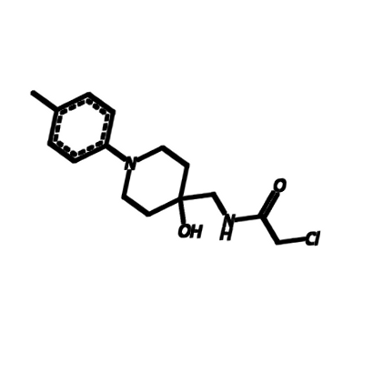 Cc1ccc(N2CCC(O)(CNC(=O)CCl)CC2)cc1